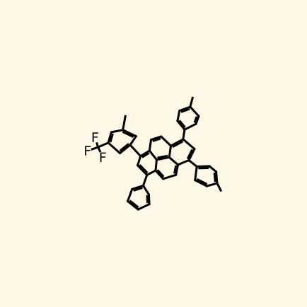 Cc1ccc(-c2cc(-c3ccc(C)cc3)c3ccc4c(-c5cc(C)cc(C(F)(F)F)c5)cc(-c5ccccc5)c5ccc2c3c54)cc1